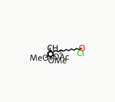 COc1cc(C)c(CCCCCCCCCC(=O)Cl)c(OC(C)=O)c1OC